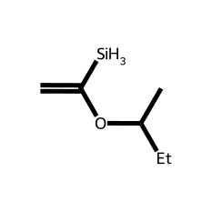 C=C([SiH3])OC(C)CC